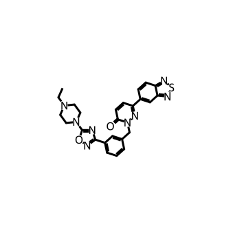 CCN1CCN(c2nc(-c3cccc(Cn4nc(-c5ccc6nsnc6c5)ccc4=O)c3)no2)CC1